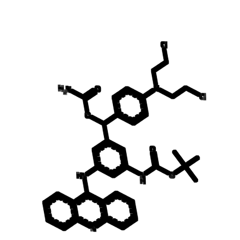 CC(C)(C)OC(=O)Nc1cc(Nc2c3ccccc3nc3ccccc23)cc(C(OC(N)=O)c2ccc(N(CCCl)CCCl)cc2)c1